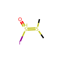 CS(C)=[SH](=O)I